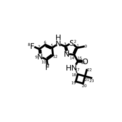 Cc1sc(Nc2cc(F)nc(F)c2)nc1C(=O)N[C@H]1CCC1(C)C